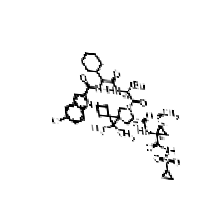 C=C[C@@H]1C[C@]1(NC(=O)[C@@H]1C[C@@]2(CN1C(=O)[C@@H](NC(=O)C(NC(=O)c1cc3cc(Cl)ccc3[nH]1)C1CCCCC1)C(C)(C)C)C(C)(C)C21CCC1)C(=O)NS(=O)(=O)C1CC1